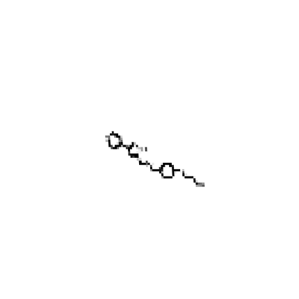 CCCCOc1ccc(CNCc2nc(-c3ccncc3)n[nH]2)cc1